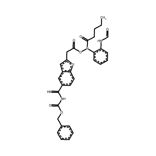 CCCCC(=O)N(OC(=O)Cc1cc2cc(C(=N)NC(=O)OCc3ccccc3)ccc2o1)c1ccccc1NC=O